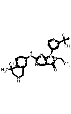 CC(C)(F)c1cc(-n2c3nc(Nc4ccc5c(c4)CNCC5(C)C)ncc3c(=O)n2CC(F)(F)F)ccn1